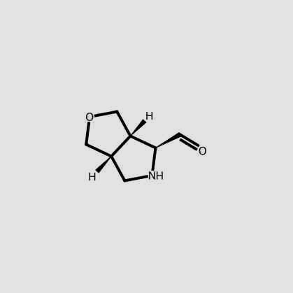 O=C[C@H]1NC[C@@H]2COC[C@@H]21